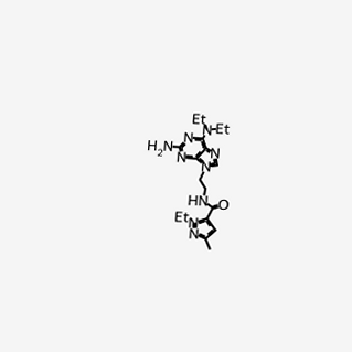 CCN(CC)c1nc(N)nc2c1ncn2CCNC(=O)c1cc(C)nn1CC